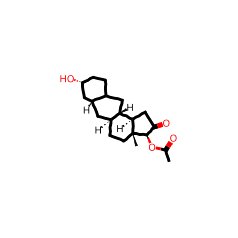 CC(=O)O[C@@H]1C(=O)C[C@@H]2[C@H]3CC4CC[C@@H](O)C[C@@H]4C[C@@H]3CC[C@@]12C